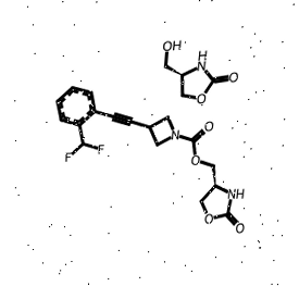 O=C1N[C@H](CO)CO1.O=C1N[C@H](COC(=O)N2CC(C#Cc3ccccc3C(F)F)C2)CO1